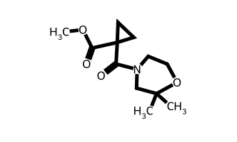 COC(=O)C1(C(=O)N2CCOC(C)(C)C2)CC1